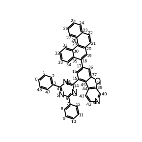 c1ccc(-c2nc(-c3ccccc3)nc(-c3cc(-c4cc5ccc6ccccc6c5c5ccccc45)cc4oc5cnccc5c34)n2)cc1